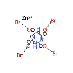 BrCCCCCCOc1cccc(-c2c3nc(c(-c4cccc(OCCCCCCBr)c4)c4ccc([nH]4)c(-c4cccc(OCCCCCCBr)c4)c4nc(c(-c5cccc(OCCCCCCBr)c5)c5ccc2[nH]5)C=C4)C=C3)c1.[Zn+2]